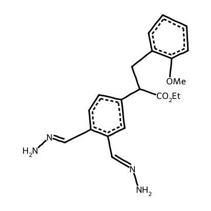 CCOC(=O)C(Cc1ccccc1OC)c1ccc(C=NN)c(C=NN)c1